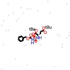 CC(C)(C)OC(=O)CC[C@H](NS(=O)(=O)NC(=O)OCc1ccccc1)C(=O)OC(C)(C)C